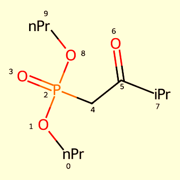 CCCOP(=O)(CC(=O)C(C)C)OCCC